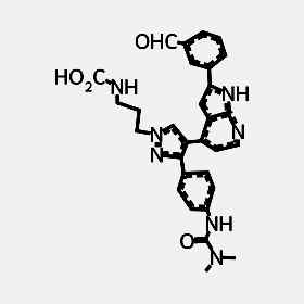 CN(C)C(=O)Nc1ccc(-c2nn(CCCNC(=O)O)cc2-c2ccnc3[nH]c(-c4cccc(C=O)c4)cc23)cc1